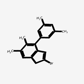 Cc1cc(C)cc(-c2c(C)c(C)cc3c2C=C(Br)C3)c1